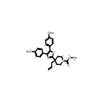 C=CCC1(c2nc(-c3ccc(OC)cc3)c(-c3ccc(OC)cc3)o2)CCN(C(=O)OC(C)(C)C)CC1